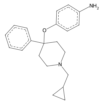 Nc1ccc(OC2(c3ccccc3)CCN(CC3CC3)CC2)cc1